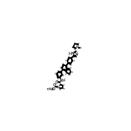 CN1CCC[C@H]1c1ncc(-c2ccc(-c3ccc(-c4cccc(NC(=O)[C@@H]5CCCN5C(=O)OC(C)(C)C)c4)c4c3C3CCC4C3)cc2)[nH]1